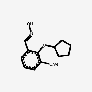 COc1cccc(C=NO)c1OC1CCCC1